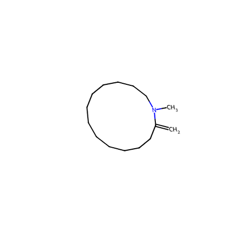 C=C1CCCCCCCCCCCCN1C